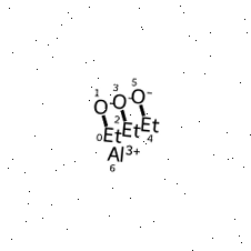 CC[O-].CC[O-].CC[O-].[Al+3]